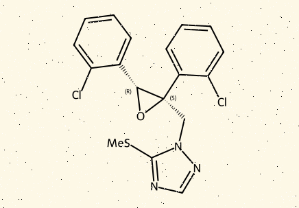 CSc1ncnn1C[C@]1(c2ccccc2Cl)O[C@@H]1c1ccccc1Cl